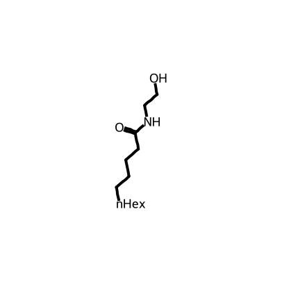 CCCCCCCCCCC(=O)NCCO